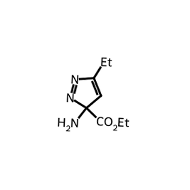 CCOC(=O)C1(N)C=C(CC)N=N1